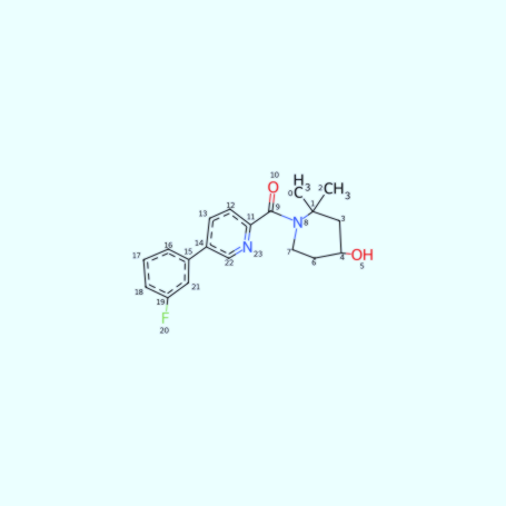 CC1(C)CC(O)CCN1C(=O)c1ccc(-c2cccc(F)c2)cn1